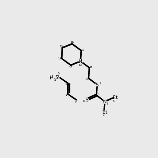 CC=C[SiH3].CCN(CC)C(=S)SCCN1CCCCC1